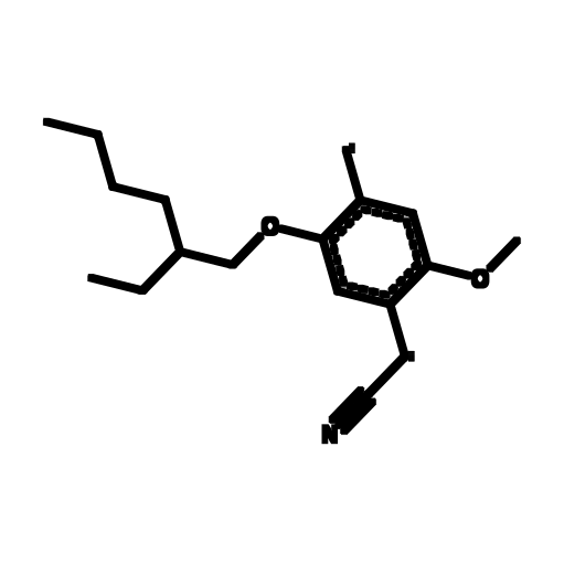 [CH]c1cc(OC)c([C]C#N)cc1OCC(CC)CCCC